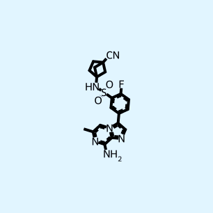 Cc1cn2c(-c3ccc(F)c(S(=O)(=O)NC45CCC(C#N)(C4)C5)c3)cnc2c(N)n1